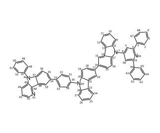 c1ccc(-c2cc(-n3c4ccccc4c4cc(-c5ccc6c(c5)c5ccccc5n6-c5ccc(-c6ccc7c(c6)c6ncccc6n7-c6ccccc6)cc5)ccc43)cc(-c3ccccc3)n2)cc1